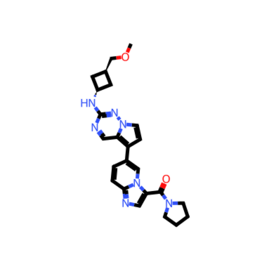 COC[C@H]1C[C@H](Nc2ncc3c(-c4ccc5ncc(C(=O)N6CCCC6)n5c4)ccn3n2)C1